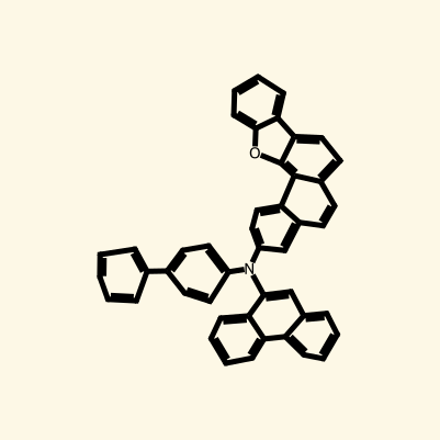 c1ccc(-c2ccc(N(c3ccc4c(ccc5ccc6c7ccccc7oc6c54)c3)c3cc4ccccc4c4ccccc34)cc2)cc1